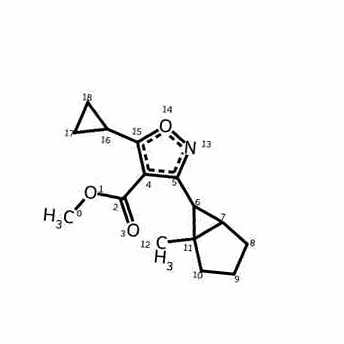 COC(=O)c1c(C2C3CCCC32C)noc1C1CC1